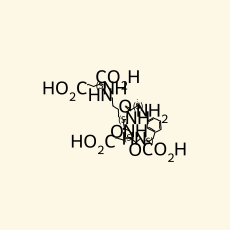 C[C@H](N)C(=O)N[C@@H](CCCCNN[C@@H](CCC(=O)O)C(=O)O)C(=O)N[C@@H](CCC(=O)O)C(=O)N[C@@H](Cc1ccccc1)C(=O)O